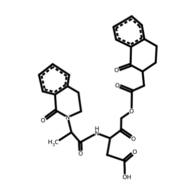 CC(C(=O)NC(CC(=O)O)C(=O)COC(=O)CC1CCc2ccccc2C1=O)N1CCc2ccccc2C1=O